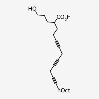 CCCCCCCCC#CCC#CCC#CCCC(CCCO)C(=O)O